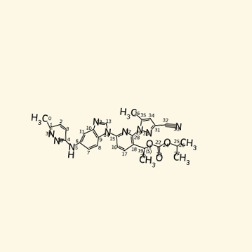 Cc1ccc(Nc2ccc3c(c2)ncn3-c2ccc([C@H](C)OC(=O)OC(C)C)c(-n3nc(C#N)cc3C)n2)nn1